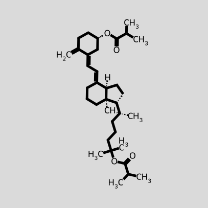 C=C1CC[C@H](OC(=O)C(C)C)CC1=CC=C1CCC[C@@]2(C)[C@@H]1CC[C@@H]2[C@H](C)CCCC(C)(C)OC(=O)C(C)C